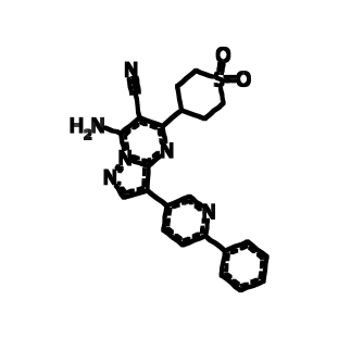 N#Cc1c(C2CCS(=O)(=O)CC2)nc2c(-c3ccc(-c4ccccc4)nc3)cnn2c1N